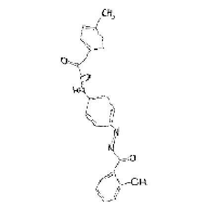 Cc1ccc(C(=O)ONc2ccc(/N=N/C(=O)c3ccccc3O)cc2)cc1